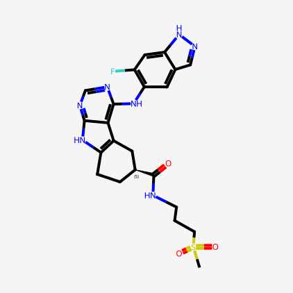 CS(=O)(=O)CCCNC(=O)[C@H]1CCc2[nH]c3ncnc(Nc4cc5cn[nH]c5cc4F)c3c2C1